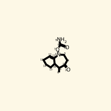 CC1C(=O)CCN(OC(N)=O)C2=CCCCC21